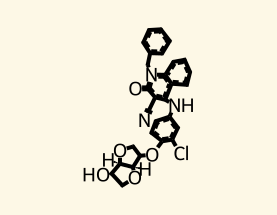 N#Cc1c(Nc2ccc(OC3CO[C@H]4[C@@H]3OC[C@@H]4O)c(Cl)c2)c2ccccc2n(Cc2ccccc2)c1=O